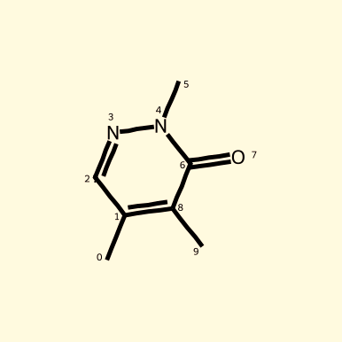 Cc1[c]nn(C)c(=O)c1C